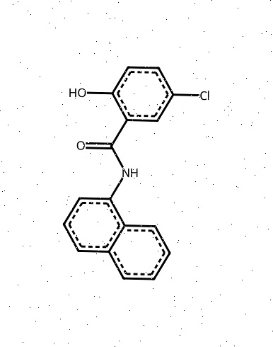 O=C(Nc1cccc2ccccc12)c1cc(Cl)ccc1O